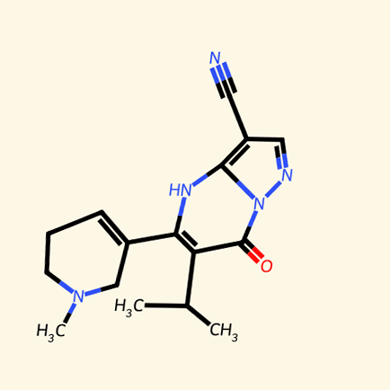 CC(C)c1c(C2=CCCN(C)C2)[nH]c2c(C#N)cnn2c1=O